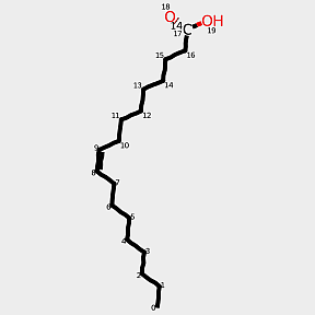 CCCCCCCC/C=C\CCCCCCC[14C](=O)O